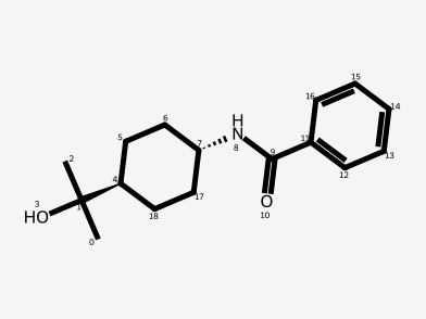 CC(C)(O)[C@H]1CC[C@H](NC(=O)c2ccccc2)CC1